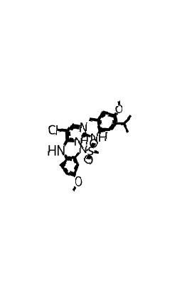 COc1ccc(Nc2nc(Nc3cc(C(C)C)c(OC)cc3C)ncc2Cl)c(NS(C)(=O)=O)c1